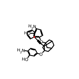 Nc1ccc(OC23CC4CC(C2)C(C#Cc2ccccc2)C(Oc2ccc(N)c(O)c2)(C4)C3)cc1O